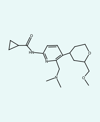 COCC1CC(c2ccc(NC(=O)C3CC3)nc2CN(C)C)CCO1